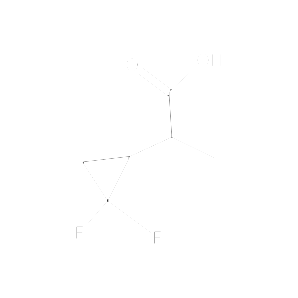 CC(C(=O)O)C1CC1(F)F